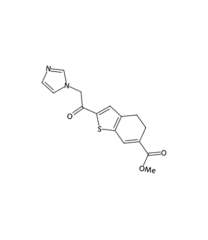 COC(=O)C1=Cc2sc(C(=O)Cn3ccnc3)cc2CC1